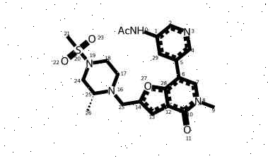 CC(=O)Nc1cncc(-c2cn(C)c(=O)c3cc(CN4CCN(S(C)(=O)=O)C[C@H]4C)oc23)c1